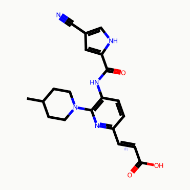 CC1CCN(c2nc(/C=C/C(=O)O)ccc2NC(=O)c2cc(C#N)c[nH]2)CC1